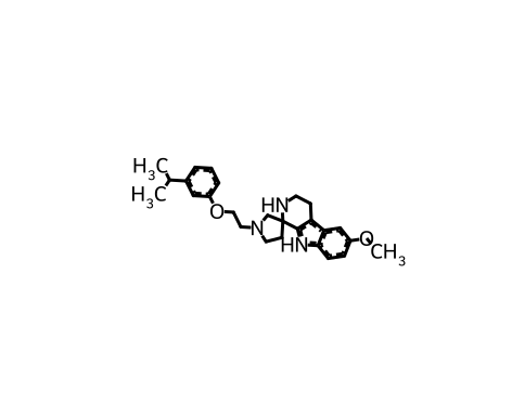 COc1ccc2[nH]c3c(c2c1)CCNC31CCN(CCOc2cccc(C(C)C)c2)C1